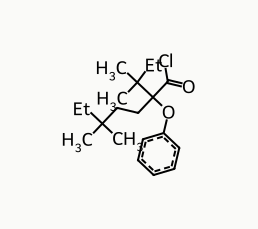 CCC(C)(C)CCC(Oc1ccccc1)(C(=O)Cl)C(C)(C)CC